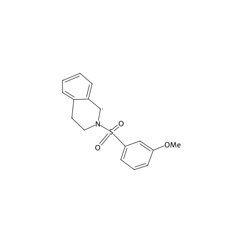 COc1cccc(S(=O)(=O)N2[CH]c3ccccc3CC2)c1